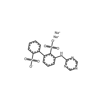 O=S(=O)([O-])c1ccccc1-c1cccc(Nc2ncncn2)c1S(=O)(=O)[O-].[Na+].[Na+]